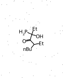 CCCCC(CC)C(=O)C(O)(P)CC